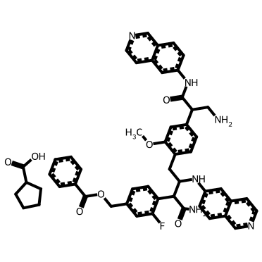 COc1cc(C(CN)C(=O)Nc2ccc3cnccc3c2)ccc1CC(Nc1ccc2cnccc2c1)C(C(N)=O)c1ccc(COC(=O)c2ccccc2)cc1F.O=C(O)C1CCCC1